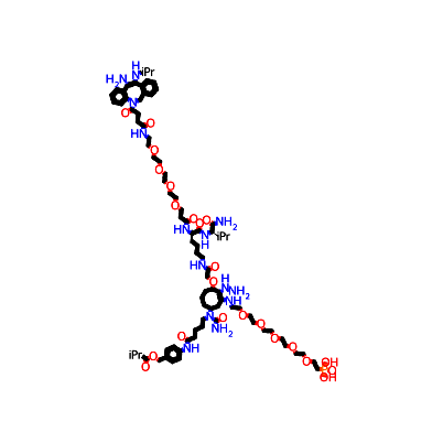 CC(C)N/C1=C(\N)c2ccccc2N(C(=O)CCC(=O)NCCOCCOCCOCCOCCC(=O)N[C@H](CCCCNC(=O)COC2CCCC(N(CCCCC(=O)Nc3ccc(COC(=O)C(C)C)cc3)C(N)=O)C/C(NCCOCCOCCOCCOCCOCCP(=O)(O)O)=C\2NN)C(=O)N[C@H](C(N)=O)C(C)C)Cc2ccccc21